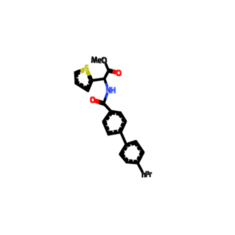 CCCc1ccc(-c2ccc(C(=O)NC(C(=O)OC)c3cccs3)cc2)cc1